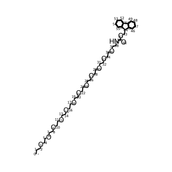 [CH2]C[CH]OCCOCCOCCOCCOCCOCCOCCOCCOCCOCCOCCOCCNC(=O)OCC1c2ccccc2-c2ccccc21